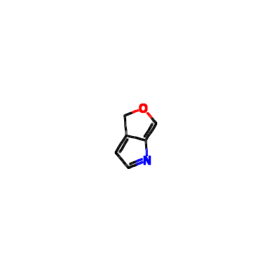 C1=NC2=COCC2=C1